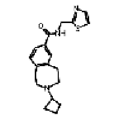 O=C(NCc1nccs1)c1ccc2c(c1)CCN(C1CCC1)CC2